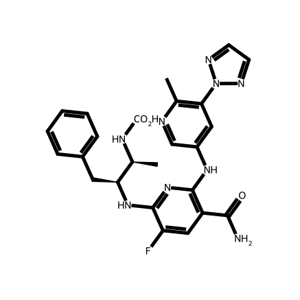 Cc1ncc(Nc2nc(N[C@@H](Cc3ccccc3)[C@H](C)NC(=O)O)c(F)cc2C(N)=O)cc1-n1nccn1